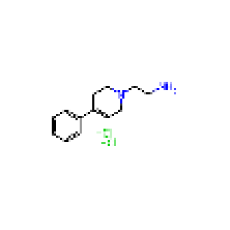 Cl.Cl.NCCN1CC=C(c2ccccc2)CC1